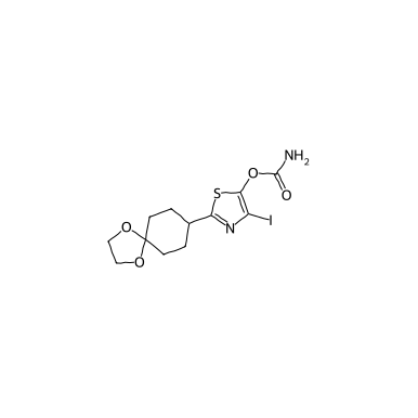 NC(=O)Oc1sc(C2CCC3(CC2)OCCO3)nc1I